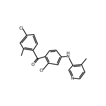 Cc1ccncc1Nc1ccc(C(=O)c2ccc(Cl)cc2C)c(Cl)c1